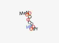 CNS(=O)(=O)c1cccc(OC2=CCC3=C(NS(=O)(=O)C(C)C)CCC3=C2)c1